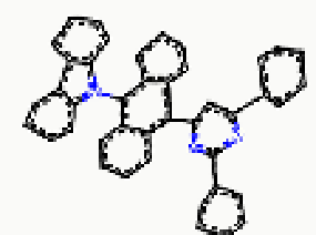 c1ccc(-c2cc(-c3c4ccccc4c(-n4c5ccccc5c5ccccc54)c4ccccc34)nc(-c3ccccc3)n2)cc1